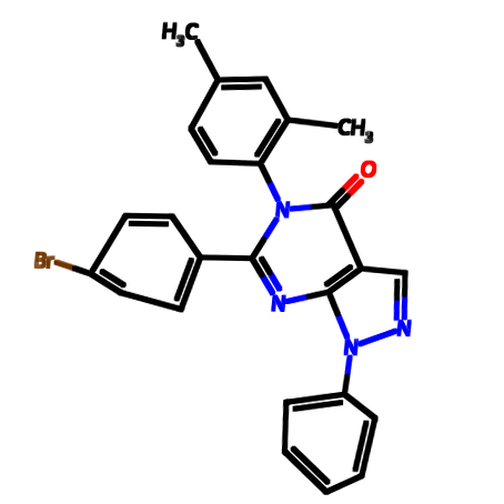 Cc1ccc(-n2c(-c3ccc(Br)cc3)nc3c(cnn3-c3ccccc3)c2=O)c(C)c1